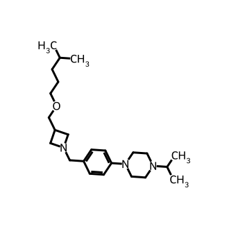 CC(C)CCCOCC1CN(Cc2ccc(N3CCN(C(C)C)CC3)cc2)C1